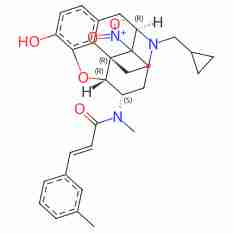 Cc1cccc(C=CC(=O)N(C)[C@H]2CCC3([N+](=O)[O-])[C@H]4Cc5ccc(O)c6c5[C@@]3(CCN4CC3CC3)[C@H]2O6)c1